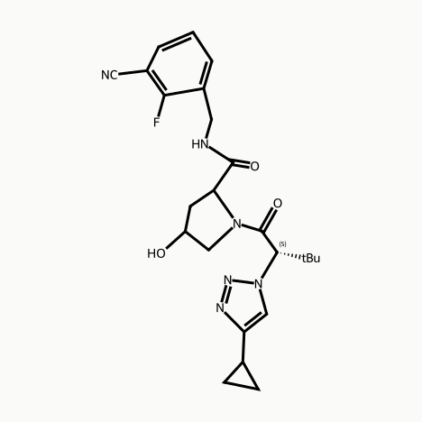 CC(C)(C)[C@@H](C(=O)N1CC(O)CC1C(=O)NCc1cccc(C#N)c1F)n1cc(C2CC2)nn1